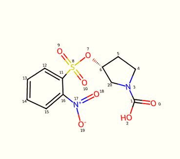 O=C(O)N1CC[C@@H](OS(=O)(=O)c2ccccc2[N+](=O)[O-])C1